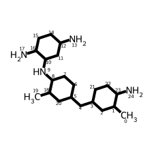 CC1CC(CC2CCC(NC3CC(N)CCC3N)C(C)C2)CCC1N